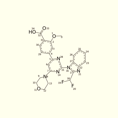 COc1cc(-c2cc(N3CCOCC3)nc(-n3c(C(F)F)nc4ccccc43)n2)ccc1C(=O)O